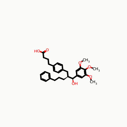 COc1cc([C@@H](O)[C@@H](CCCc2ccccc2)Cc2ccc(CCCC(=O)O)cc2)cc(OC)c1OC